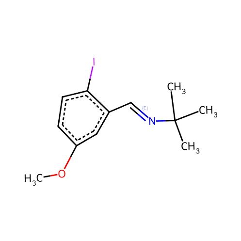 COc1ccc(I)c(/C=N/C(C)(C)C)c1